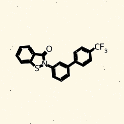 O=c1c2ccccc2sn1-c1cccc(-c2ccc(C(F)(F)F)cc2)c1